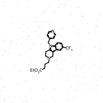 CCOC(=O)CCCN1CCc2c(c3cc(C(F)(F)F)ccc3n2Cc2ccncc2)C1